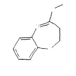 COC1=Nc2ccccc2SCC1